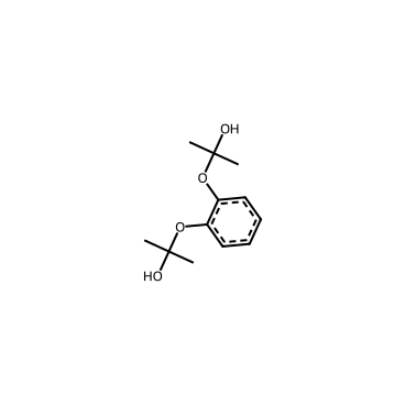 CC(C)(O)Oc1ccccc1OC(C)(C)O